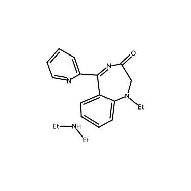 CCN1CC(=O)N=C(c2ccccn2)c2ccccc21.CCNCC